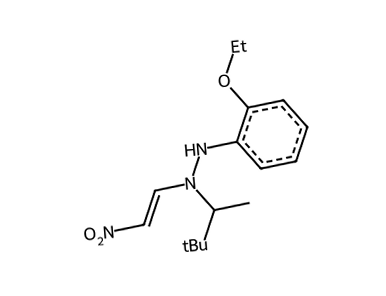 CCOc1ccccc1NN(C=C[N+](=O)[O-])C(C)C(C)(C)C